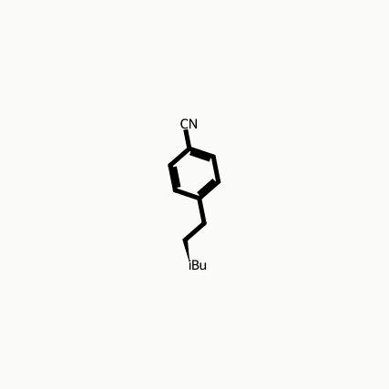 CC[C@H](C)CCc1ccc(C#N)cc1